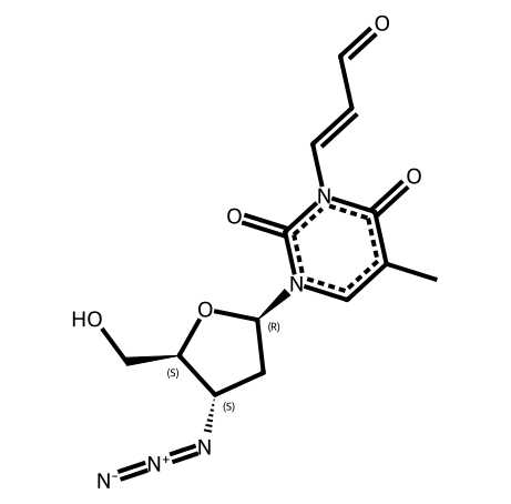 Cc1cn([C@H]2C[C@H](N=[N+]=[N-])[C@@H](CO)O2)c(=O)n(C=CC=O)c1=O